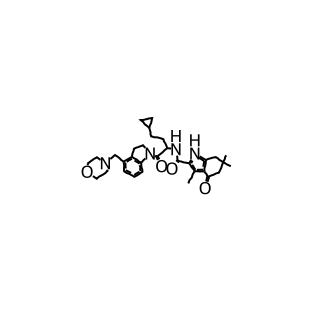 Cc1c(C(=O)NC(CCC2CC2)C(=O)N2CCc3c(CN4CCOCC4)cccc32)[nH]c2c1C(=O)CC(C)(C)C2